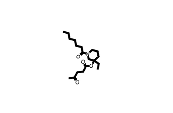 CCCCCCC(=O)N1CCCC(CC)(OC(=O)CCC(C)=O)C1